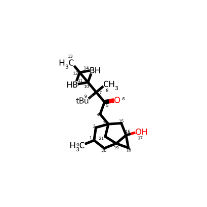 CC1CC2(CC(=O)C(C)(C(C)(C)C)C34BC3(C)B4)CC3(O)CC3(C1)C2